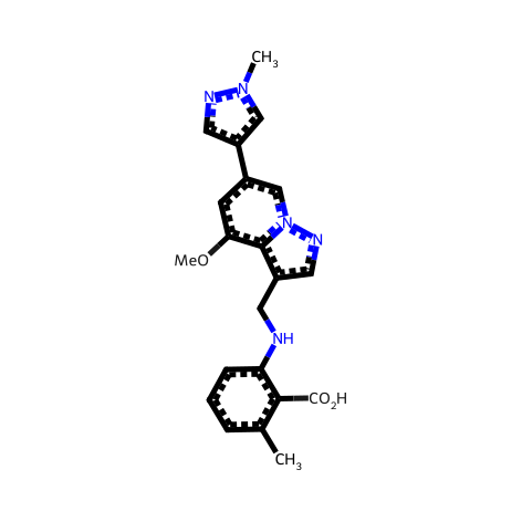 COc1cc(-c2cnn(C)c2)cn2ncc(CNc3cccc(C)c3C(=O)O)c12